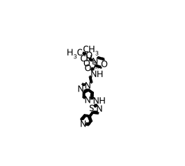 CC(C)(C)OC(=O)N1CCOC[C@H]1C(=O)NCCn1cnc2cnc(Nc3ncc(-c4ccncc4)s3)cc21